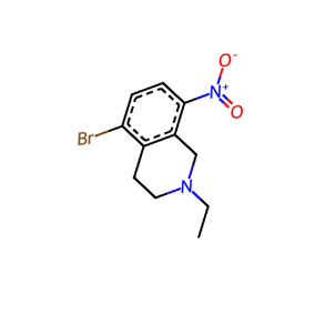 CCN1CCc2c(Br)ccc([N+](=O)[O-])c2C1